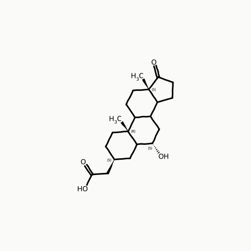 C[C@]12CC[C@H](CC(=O)O)CC1[C@@H](O)CC1C2CC[C@]2(C)C(=O)CCC12